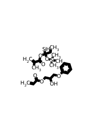 C=C(C)C(=O)OC([SiH3])(CC)O[Si](C)(C)C.C=CC(=O)OCC(O)COc1ccccc1